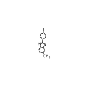 Cc1ccc2nc(-c3ccc(I)cc3)sc2c1